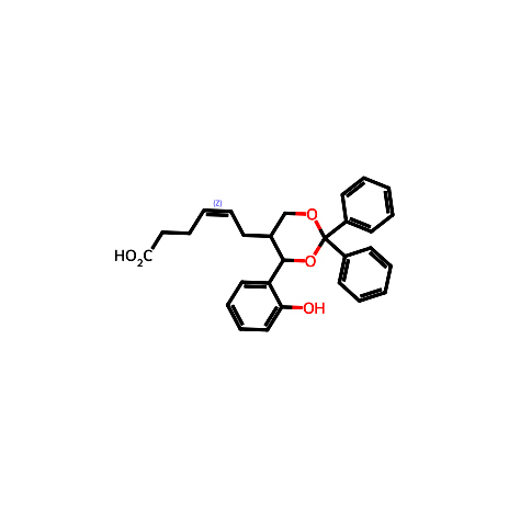 O=C(O)CC/C=C\CC1COC(c2ccccc2)(c2ccccc2)OC1c1ccccc1O